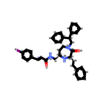 O=C(/C=C/c1ccc(I)cc1)NC[C@@H]1CCN(CC(c2ccccc2)c2ccccc2)C(=O)[C@H](CCc2ccccc2)N1